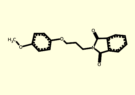 COc1ccc(OCCCN2C(=O)c3ccccc3C2=O)cc1